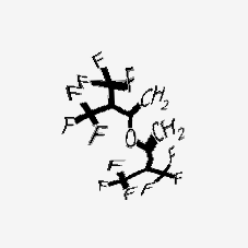 C=C(OC(=C)C(C(F)(F)F)C(F)(F)F)C(C(F)(F)F)C(F)(F)F